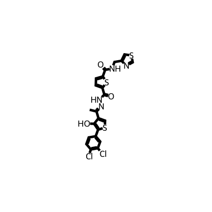 C/C(=N\NC(=O)c1ccc(C(=O)NCc2cscn2)s1)c1csc(-c2ccc(Cl)c(Cl)c2)c1O